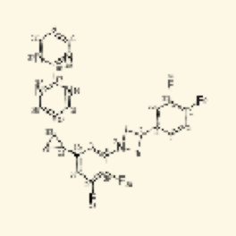 Fc1ccc(C2CN(c3cc([C@H]4C[C@H]4c4cnc(-c5ncccn5)nc4)cc(F)c3F)C2)cc1F